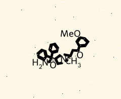 COc1cccc(C(=O)CCC[N+]2(C)CC[C@@H](C(C(N)=O)(c3ccccc3)c3ccccc3)C2)c1